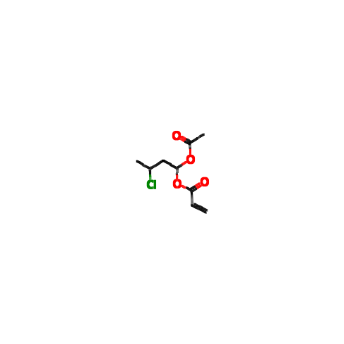 C=CC(=O)OC(CC(C)Cl)OC(C)=O